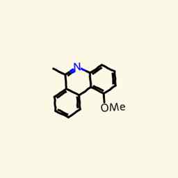 COc1cccc2nc(C)c3ccccc3c12